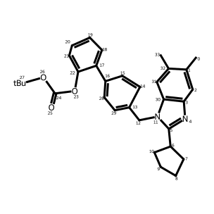 Cc1cc2nc(C3CCCC3)n(Cc3ccc(-c4ccccc4OC(=O)OC(C)(C)C)cc3)c2cc1C